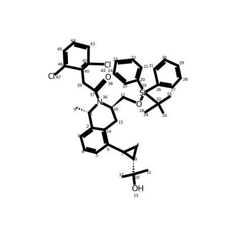 C[C@H]1c2cccc(C3C[C@@H]3C(C)(C)O)c2C[C@H](CO[Si](c2ccccc2)(c2ccccc2)C(C)(C)C)N1C(=O)Cc1c(Cl)cccc1Cl